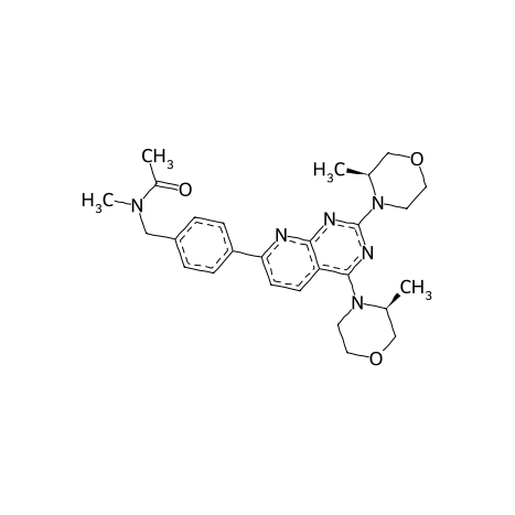 CC(=O)N(C)Cc1ccc(-c2ccc3c(N4CCOC[C@@H]4C)nc(N4CCOC[C@@H]4C)nc3n2)cc1